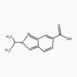 CC(C)n1cc2ccc(C(=O)O)cc2n1